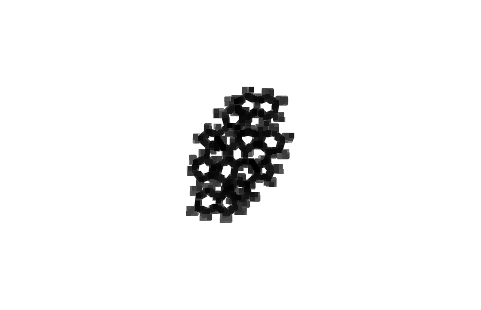 c1ccc(-c2ccc(-c3ccccc3)n2-c2c3ccc(-c4cccc5ccccc45)cc3c(-n3c(-c4ccccc4)ccc3-c3ccccc3)c3ccc(-c4cccc5ccccc45)cc23)cc1